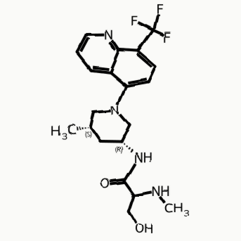 CNC(CO)C(=O)N[C@@H]1C[C@H](C)CN(c2ccc(C(F)(F)F)c3ncccc23)C1